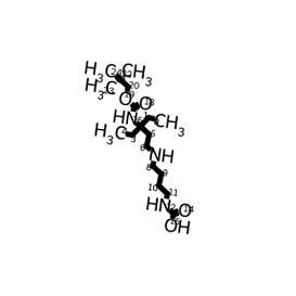 CCC(CC)(CCNCCCCNC(=O)O)NC(=O)OCC(C)(C)C